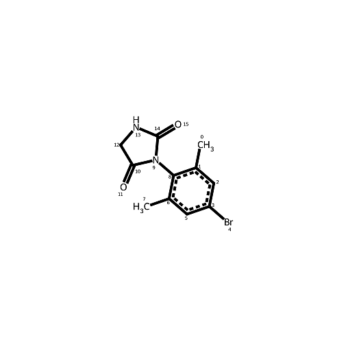 Cc1cc(Br)cc(C)c1N1C(=O)CNC1=O